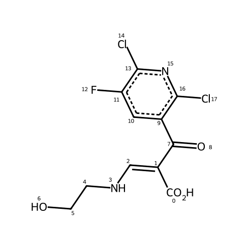 O=C(O)C(=CNCCO)C(=O)c1cc(F)c(Cl)nc1Cl